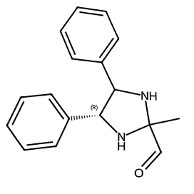 CC1(C=O)NC(c2ccccc2)[C@@H](c2ccccc2)N1